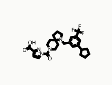 O=C(O)c1ccn(C(=O)N2CCC3(CCCN3Cc3cc(C4CCCC4)cc(C(F)(F)F)c3)CC2)n1